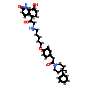 Cc1cc(CC(=O)N2CCC(C)(c3ccccc3)CC2)ccc1OCCCCCNCC(O)c1ccc(O)c2[nH]c(=O)ccc12